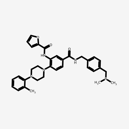 Cc1ccccc1N1CCN(c2ccc(C(=O)NCc3ccc(CN(C)C)cc3)cc2NC(=O)c2ccco2)CC1